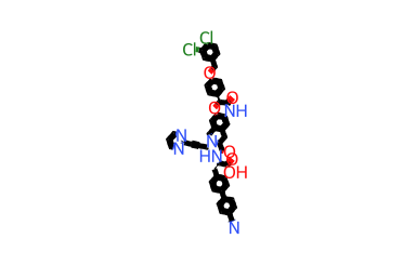 N#Cc1ccc(-c2ccc(C[C@H](NC(=O)C3Cc4cc5c(cc4CN3CC#Cc3ncccn3)O[C@@H](c3ccc(OCc4ccc(Cl)c(Cl)c4)cc3)C(=O)N5)C(=O)O)cc2)cc1